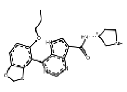 CCCOc1ccc2c(c1-c1ncnc3c(C(=O)N[C@@H]4CCNC4)c[nH]c13)OCO2